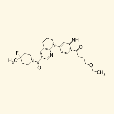 CCOCCCC(=O)n1ccc(N2CCCc3cc(C(=O)N4CCC(C)(F)CC4)cnc32)cc1=N